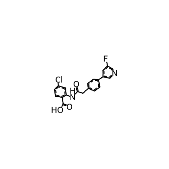 O=C(Cc1ccc(-c2cncc(F)c2)cc1)Nc1cc(Cl)ccc1C(=O)O